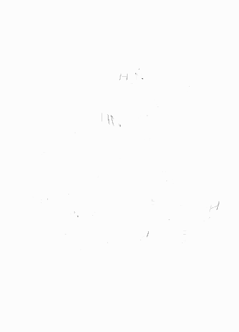 COC[C@@H](N)C(=O)Nc1ccc(C(=O)N2CCCC2)c(C)c1.O=C(O)C(F)(F)F